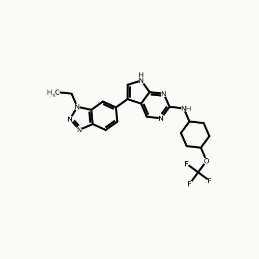 CCn1nnc2ccc(-c3c[nH]c4nc(NC5CCC(OC(F)(F)F)CC5)ncc34)cc21